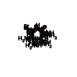 CCOCCNC(=O)CC[C@@H]1NC(=O)[C@@H](CCCNC(=N)N)NC(=O)[C@H](CCCNC(=N)N)NC(=O)[C@@H](CCCNC(=N)N)NC(=O)[C@H](CCCNC(=N)N)NC(=O)[C@H](Cc2ccc3ccccc3c2)NC(=O)[C@@H](Cc2ccccc2)NC1=O